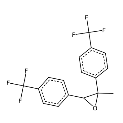 CC1(c2ccc(C(F)(F)F)cc2)OC1c1ccc(C(F)(F)F)cc1